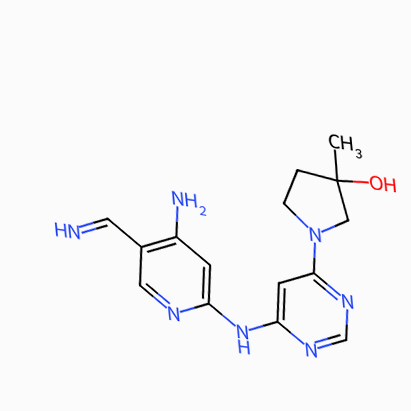 CC1(O)CCN(c2cc(Nc3cc(N)c(C=N)cn3)ncn2)C1